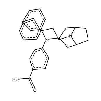 O=C(O)c1ccc(N(c2ccccc2)C2CC3CCC(C2)N3CCc2ccccc2)cc1